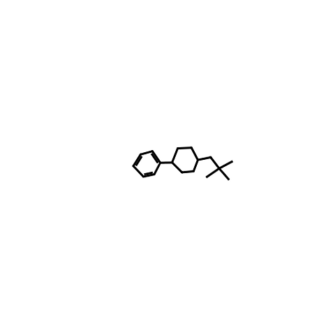 CC(C)(C)CC1CCC(c2ccccc2)CC1